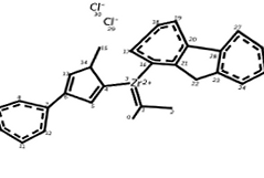 C[C](C)=[Zr+2]([C]1=CC(c2ccccc2)=CC1C)[c]1cccc2c1Cc1ccccc1-2.[Cl-].[Cl-]